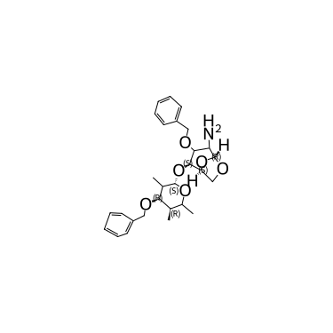 CC1O[C@@H](O[C@H]2C(OCc3ccccc3)C(N)[C@@H]3OC[C@@H]2O3)C(C)[C@H](OCc2ccccc2)[C@@H]1C